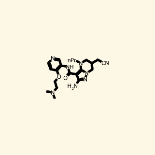 CCCN1CC(CC#N)Cn2nc(N)c(C(=O)Nc3cnccc3OCCN(C)C)c21